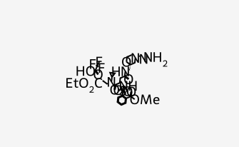 CCOC(=O)CCN(C(=O)C(CC(=O)NC[C@H]1CN(C=NN)CCO1)NS(=O)(=O)c1ccccc1C(=O)OC)C1CC1.O=C(O)C(F)(F)F